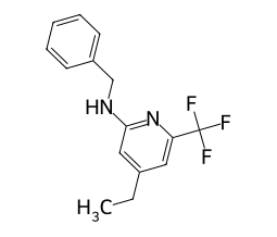 CCc1cc(NCc2ccccc2)nc(C(F)(F)F)c1